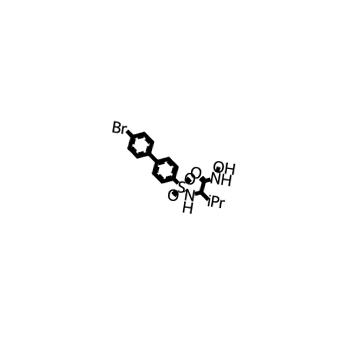 CC(C)C(NS(=O)(=O)c1ccc(-c2ccc(Br)cc2)cc1)C(=O)NO